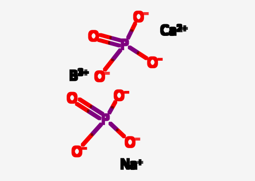 O=P([O-])([O-])[O-].O=P([O-])([O-])[O-].[B+3].[Ca+2].[Na+]